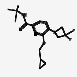 CC(C)(C)NC(=O)c1ccc(N2CC(F)(F)C2)c(OCC2CC2)n1